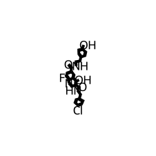 O=C(NCCc1ccc(O)cc1)c1cc(F)c2ncc(C(=O)NCc3ccc(Cl)cc3)c(O)c2c1